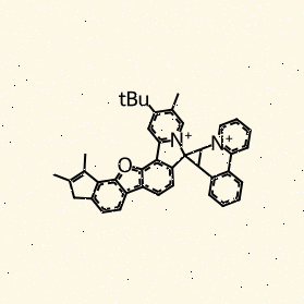 CC1=C(C)c2c(ccc3c2oc2c4c(ccc23)C2(C3c5ccccc5-c5cccc[n+]5C32)[n+]2cc(C)c(C(C)(C)C)cc2-4)C1